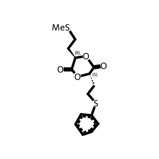 CSCC[C@H]1OC(=O)[C@H](CCSc2ccccc2)OC1=O